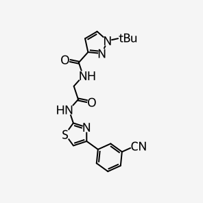 CC(C)(C)n1ccc(C(=O)NCC(=O)Nc2nc(-c3cccc(C#N)c3)cs2)n1